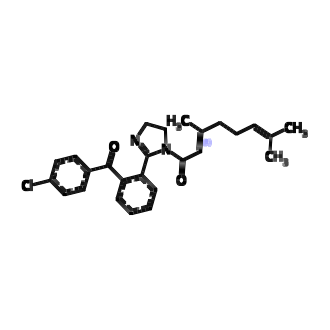 CC(C)=CCC/C(C)=C/C(=O)N1CCN=C1c1ccccc1C(=O)c1ccc(Cl)cc1